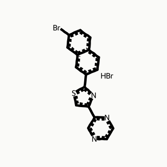 Br.Brc1ccc2ccc(-c3nc(-c4cnccn4)cs3)cc2c1